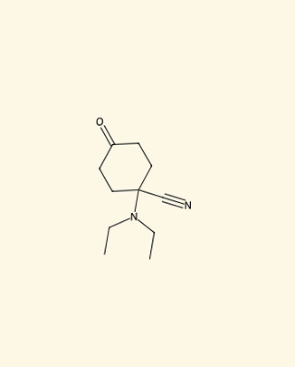 CCN(CC)C1(C#N)CCC(=O)CC1